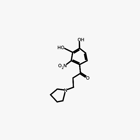 O=C(CCN1CCCC1)c1ccc(O)c(O)c1[N+](=O)[O-]